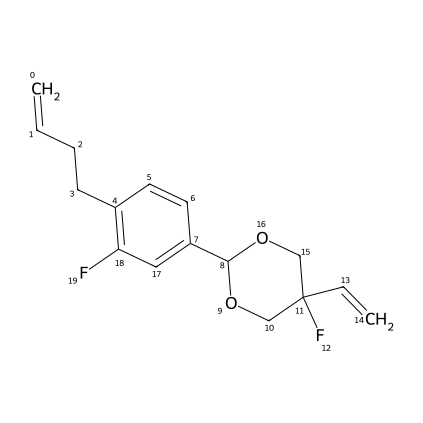 C=CCCc1ccc(C2OCC(F)(C=C)CO2)cc1F